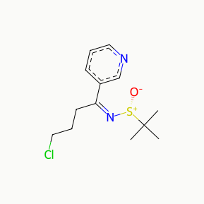 CC(C)(C)[S@@+]([O-])/N=C(/CCCCl)c1cccnc1